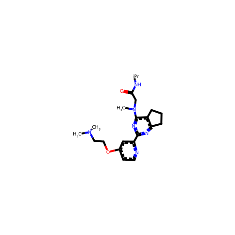 CC(C)NC(=O)CN(C)c1nc(-c2cc(OCCN(C)C)ccn2)nc2c1CCC2